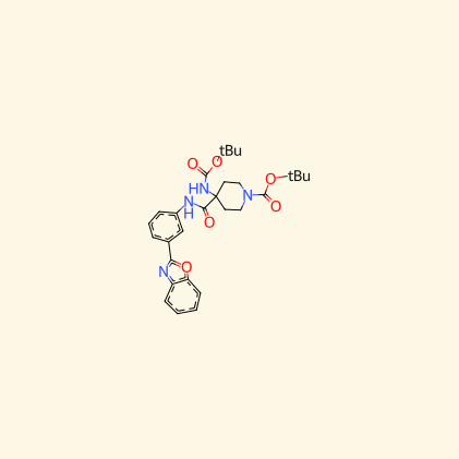 CC(C)(C)OC(=O)NC1(C(=O)Nc2cccc(-c3nc4ccccc4o3)c2)CCN(C(=O)OC(C)(C)C)CC1